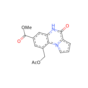 COC(=O)c1cc(COC(C)=O)c2c(c1)[nH]c(=O)c1cccn12